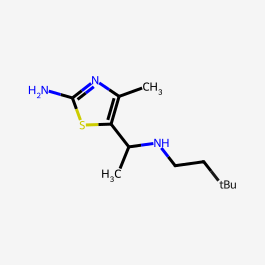 Cc1nc(N)sc1C(C)NCCC(C)(C)C